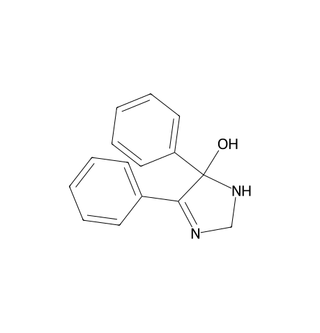 OC1(c2ccccc2)NCN=C1c1ccccc1